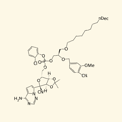 CCCCCCCCCCCCCCCCCCOC[C@H](COP(=O)(OC[C@H]1O[C@@](C#N)(c2ccc3c(N)ncnn23)[C@@H]2OC(C)(C)O[C@@H]21)Oc1ccccc1Cl)OCc1ccc(C#N)c(OC)c1